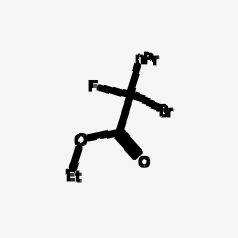 CCCC(F)(Br)C(=O)OCC